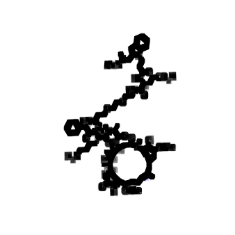 CNN(C)Cc1cc2ccccc2n1CCC(=O)N[C@@H](CCC(=O)O)C(=O)NCCOCCOCCC(=O)N[C@H](C(=O)N[C@@H](CCCCN)C(=O)N(C)[C@@H](C)C(=O)O[C@H]1CC(=O)N(C)c2cc(cc(OC)c2Cl)C/C(C)=C/C=C/[C@@H](OC)[C@@]2(O)C[C@H](OC(=O)N2)[C@@H](C)[C@@H]2C[C@]12C)c1ccccc1